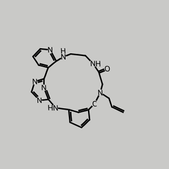 C=CCN1CC(=O)NCCNc2ncccc2-c2ncnc(n2)Nc2cccc(c2)C1